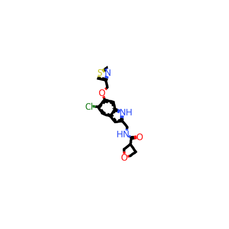 O=C(NCc1cc2cc(Cl)c(OCc3cscn3)cc2[nH]1)C1CCOC1